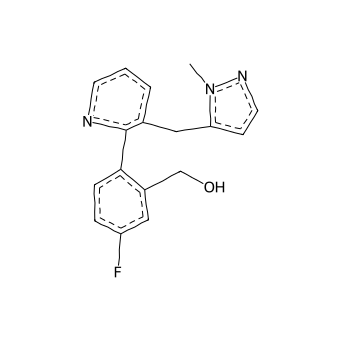 Cn1nccc1Cc1cccnc1-c1ccc(F)cc1CO